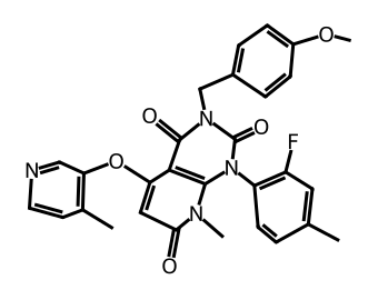 COc1ccc(Cn2c(=O)c3c(Oc4cnccc4C)cc(=O)n(C)c3n(-c3ccc(C)cc3F)c2=O)cc1